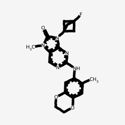 Cc1cc2c(cc1Nc1ncc3c(n1)n(C14CC(F)(C1)C4)c(=O)n3C)OCCO2